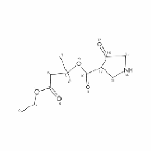 CCOC(=O)CC(C)(C)OC(=O)C1CNCC1=O